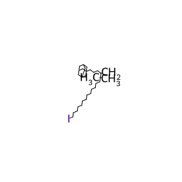 C=C(CCCC12CC3CC(CC(C3)C1)C2)C(C)(C)CCCCCCCCCCCCCI